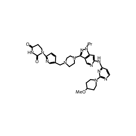 COC1CCN(c2nccc(Nc3cc4c(cn3)c(N3CCN(Cc5ccc(N6CCC(=O)NC6=O)nc5)CC3)nn4C(C)C)n2)CC1